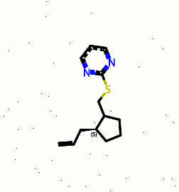 C=CC[C@@H]1CCCC1CSc1ncccn1